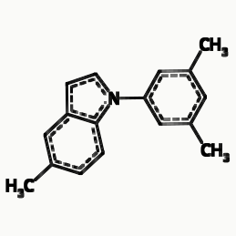 Cc1cc(C)cc(-n2ccc3cc(C)ccc32)c1